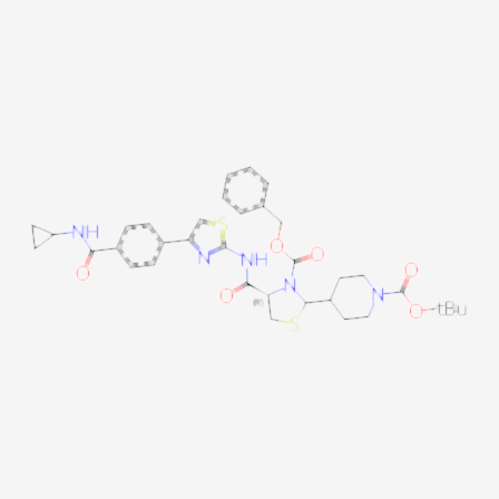 CC(C)(C)OC(=O)N1CCC(C2SC[C@@H](C(=O)Nc3nc(-c4ccc(C(=O)NC5CC5)cc4)cs3)N2C(=O)OCc2ccccc2)CC1